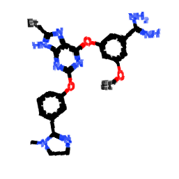 CCOc1cc(Oc2nc(Oc3cccc(C4=NCCN4C)c3)nc3[nH]c(CC)nc23)cc(C(=N)N)c1